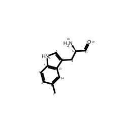 Cc1ccc2[nH]cc(C[C@@H](N)[C]=O)c2c1